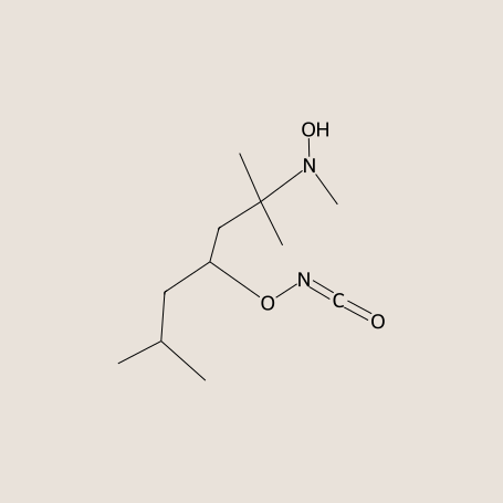 CC(C)CC(CC(C)(C)N(C)O)ON=C=O